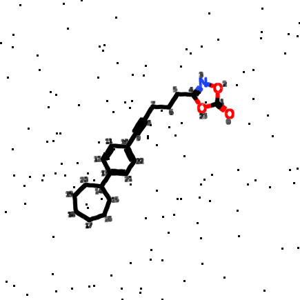 O=c1onc(CCCC#Cc2ccc(C3CCCCCC3)cc2)o1